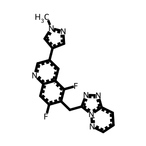 Cn1cc(-c2cnc3cc(F)c(Cc4nnc5cccnn45)c(F)c3c2)cn1